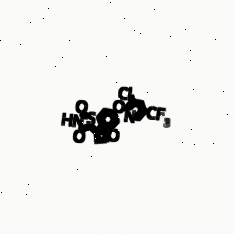 O=C1NC(=O)C(C23CC(C2)Oc2cc(Oc4ncc(C(F)(F)F)cc4Cl)ccc23)S1